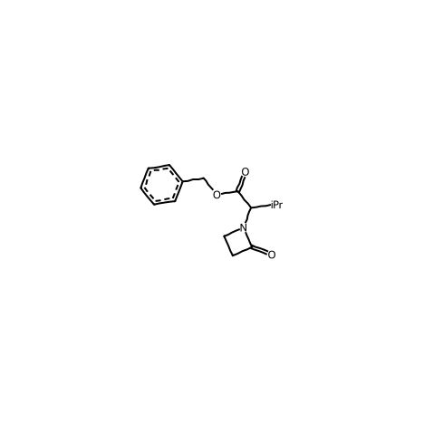 CC(C)C(C(=O)OCc1ccccc1)N1CCC1=O